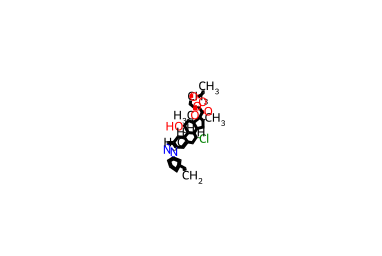 C=Cc1cccc(-n2ncc3c2C=C2C[C@@H](Cl)[C@@H]4[C@H]([C@@H](O)C[C@@]5(C)[C@H]4C[C@@H](C)[C@]5(OC(=O)CC)C(=O)COC(=O)CC)[C@@]2(C)C3)c1